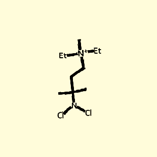 CC[N+](C)(CC)CCC(C)(C)N(Cl)Cl